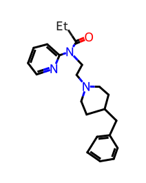 CCC(=O)N(CCN1CCC(Cc2ccccc2)CC1)c1ccccn1